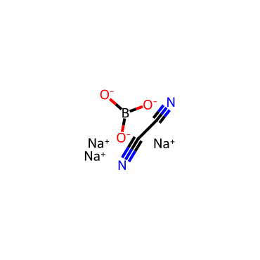 N#CC#N.[Na+].[Na+].[Na+].[O-]B([O-])[O-]